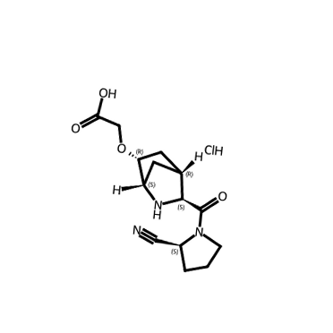 Cl.N#C[C@@H]1CCCN1C(=O)[C@H]1N[C@H]2C[C@@H]1C[C@H]2OCC(=O)O